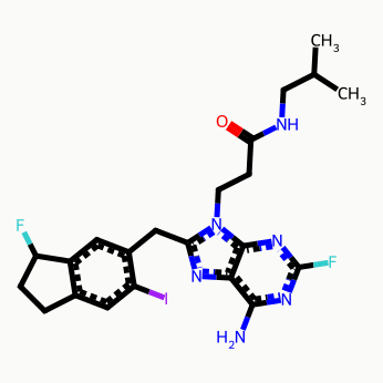 CC(C)CNC(=O)CCn1c(Cc2cc3c(cc2I)CCC3F)nc2c(N)nc(F)nc21